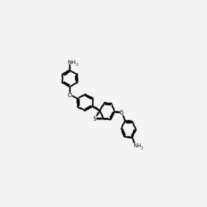 Nc1ccc(OC2=CC3SC3(c3ccc(Oc4ccc(N)cc4)cc3)C=C2)cc1